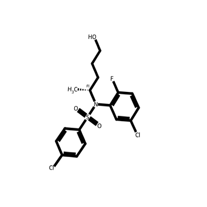 C[C@H](CCCO)N(c1cc(Cl)ccc1F)S(=O)(=O)c1ccc(Cl)cc1